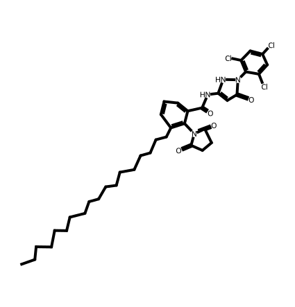 CCCCCCCCCCCCCCCCCCc1cccc(C(=O)Nc2cc(=O)n(-c3c(Cl)cc(Cl)cc3Cl)[nH]2)c1N1C(=O)CCC1=O